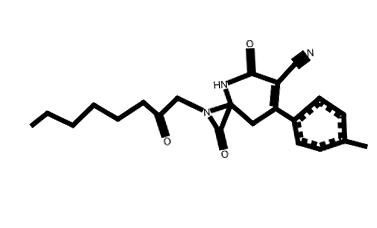 CCCCCCC(=O)CN1C(=O)C12CC(c1ccc(C)cc1)=C(C#N)C(=O)N2